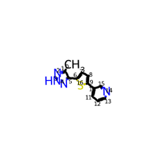 Cc1n[nH]nc1-c1ccc(-c2cccnc2)s1